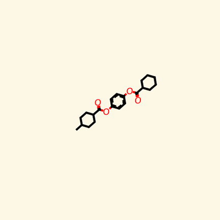 CC1CCC(C(=O)Oc2ccc(OC(=O)C3CCCCC3)cc2)CC1